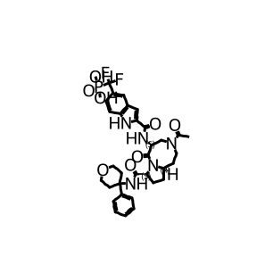 CC(=O)N1CC[C@H]2CC[C@@H](C(=O)NC3(c4ccccc4)CCOCC3)N2C(=O)[C@@H](NC(=O)c2cc3cc(C(F)(F)P(=O)(O)O)ccc3[nH]2)C1